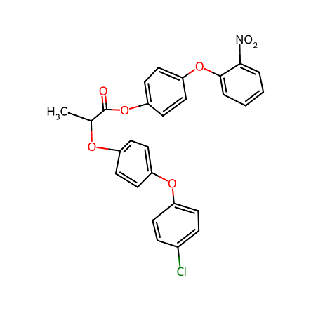 CC(Oc1ccc(Oc2ccc(Cl)cc2)cc1)C(=O)Oc1ccc(Oc2ccccc2[N+](=O)[O-])cc1